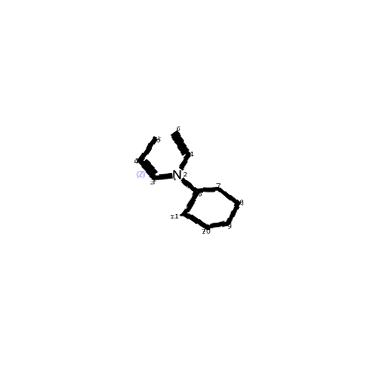 C=CN(/C=C\C)C1CCCCC1